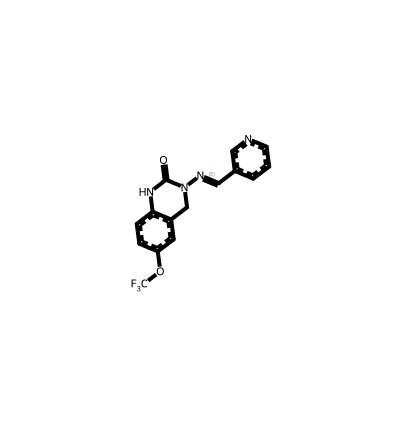 O=C1Nc2ccc(OC(F)(F)F)cc2CN1/N=C/c1cccnc1